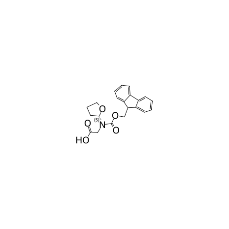 O=C(O)CN(C(=O)OCC1c2ccccc2-c2ccccc21)[C@@H]1CCCO1